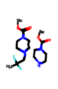 CC(C)(C)OC(=O)N1CCNCC1.CC(F)(F)CN1CCN(C(=O)OC(C)(C)C)CC1